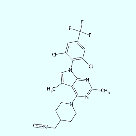 [C-]#[N+]CC1CCN(c2nc(C)nc3c2c(C)cn3-c2c(Cl)cc(C(F)(F)F)cc2Cl)CC1